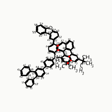 CC(C)(C)c1cc(-c2cccc3cccc(-c4ccccc4N(c4ccc(-c5ccc(-c6ccccc6)c(-c6ccccc6)c5)cc4)c4ccc(-c5ccc6oc7ccccc7c6c5)cc4)c23)cc(C(C)(C)C)c1